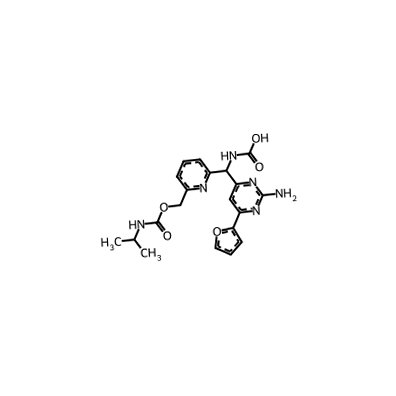 CC(C)NC(=O)OCc1cccc(C(NC(=O)O)c2cc(-c3ccco3)nc(N)n2)n1